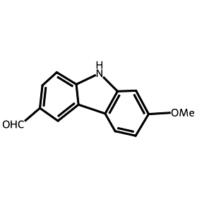 COc1ccc2c(c1)[nH]c1ccc(C=O)cc12